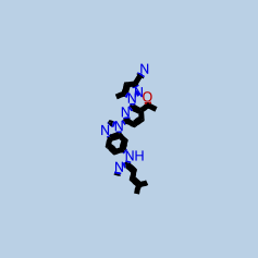 C=N/C(=C\C=C(C)C)Nc1ccc2ncn(-c3ccc(C(C)=O)c(-n4nc(C#N)cc4C)n3)c2c1